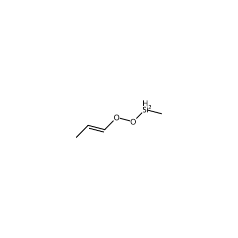 CC=COO[SiH2]C